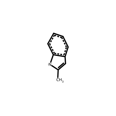 CC1=Cc2ccccc2[N]1